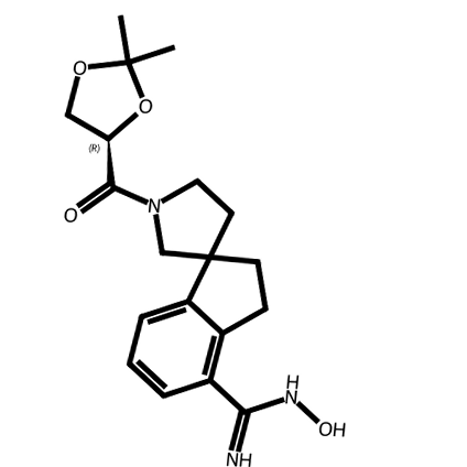 CC1(C)OC[C@H](C(=O)N2CCC3(CCc4c(C(=N)NO)cccc43)C2)O1